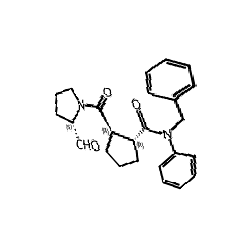 O=C[C@@H]1CCCN1C(=O)[C@@H]1CCC[C@H]1C(=O)N(Cc1ccccc1)c1ccccc1